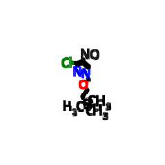 C[Si](C)(C)CCOCn1cc(N=O)c(Cl)n1